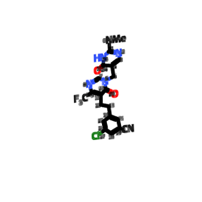 CNc1ncc(Cn2cnc(C(F)(F)F)c(CCc3cc(Cl)cc(C#N)c3)c2=O)c(=O)[nH]1